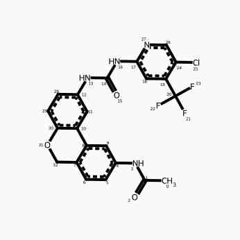 CC(=O)Nc1ccc2c(c1)-c1cc(NC(=O)Nc3cc(C(F)(F)F)c(Cl)cn3)ccc1OC2